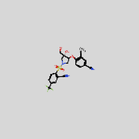 Cc1cc(C#N)ccc1OC1CN(S(=O)(=O)c2ccc(C(F)(F)F)cc2C#N)C[C@@]1(O)CO